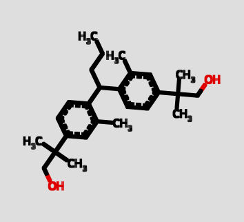 CCCC(c1ccc(C(C)(C)CO)cc1C)c1ccc(C(C)(C)CO)cc1C